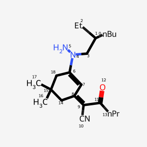 CCCCC(CC)CN(N)C1=C/C(=C(/C#N)C(=O)CCC)CC(C)(C)C1